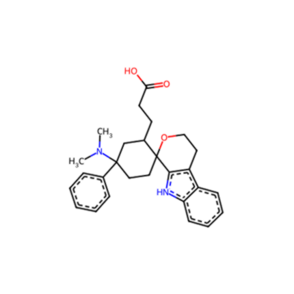 CN(C)C1(c2ccccc2)CCC2(OCCc3c2[nH]c2ccccc32)C(CCC(=O)O)C1